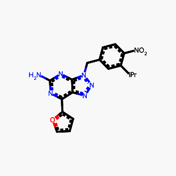 CC(C)c1cc(Cn2nnc3c(-c4ccco4)nc(N)nc32)ccc1[N+](=O)[O-]